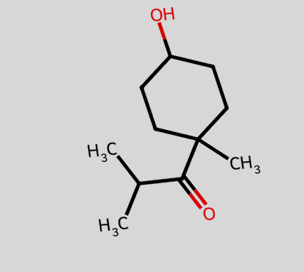 CC(C)C(=O)C1(C)CCC(O)CC1